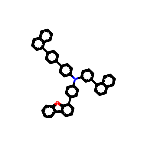 c1cc(-c2cccc3ccccc23)cc(N(c2ccc(-c3ccc(-c4cccc5ccccc45)cc3)cc2)c2ccc(-c3cccc4c3oc3ccccc34)cc2)c1